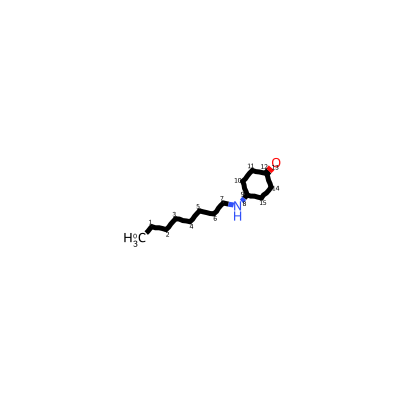 CCCCCCCCNC1CCC(=O)CC1